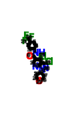 O=C(Nc1ccc(C(F)(F)F)cc1)c1cnc2c(c(Cl)nn2C2CCOCC2)c1Cl